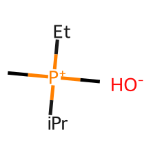 CC[P+](C)(C)C(C)C.[OH-]